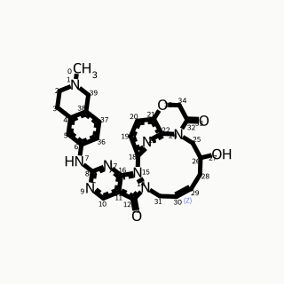 CN1CCc2cc(Nc3ncc4c(=O)n5n(c4n3)-c3ccc4c(n3)N(CC(O)C/C=C\C5)C(=O)CO4)ccc2C1